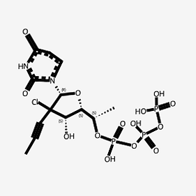 CC#CC1(Cl)[C@@H](O)[C@@H]([C@H](C)OP(=O)(O)OP(=O)(O)OP(=O)(O)O)O[C@H]1n1ccc(=O)[nH]c1=O